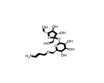 NC=CCOC[C@H]1O[C@H](O[C@]2(CO)O[C@H](CO)[C@@H](O)[C@@H]2O)[C@H](O)[C@@H](O)[C@@H]1O